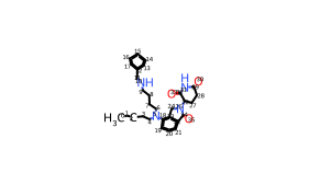 CCCCCN(CCCCNCc1ccccc1)c1cccc2c1CN(C1CCC(=O)NC1=O)C2=O